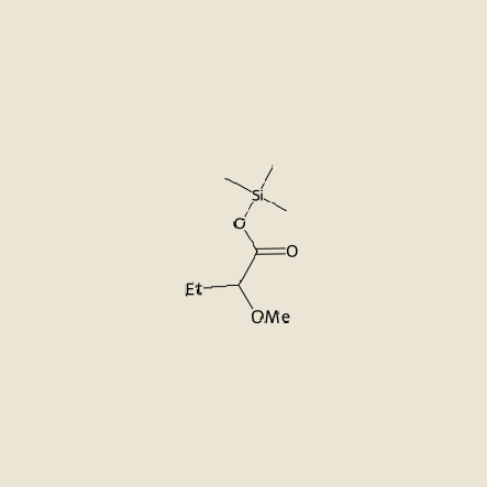 CCC(OC)C(=O)O[Si](C)(C)C